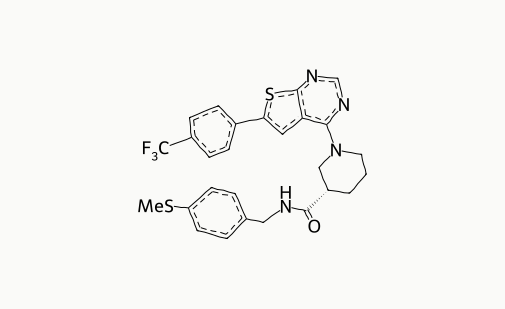 CSc1ccc(CNC(=O)[C@H]2CCCN(c3ncnc4sc(-c5ccc(C(F)(F)F)cc5)cc34)C2)cc1